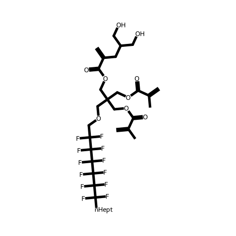 C=C(C)C(=O)OCC(COCC(F)(F)C(F)(F)C(F)(F)C(F)(F)C(F)(F)C(F)(F)CCCCCCC)(COC(=O)C(=C)C)COC(=O)C(=C)CC(CO)CO